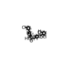 C[C@@]1(C(=O)NC(Cc2ccc(NC(=O)c3c(Cl)cccc3Cl)cc2)C(=O)O)CC(c2cccc(Cl)c2)=NO1